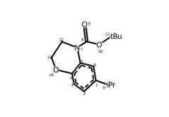 CC(C)c1ccc2c(c1)N(C(=O)OC(C)(C)C)CCO2